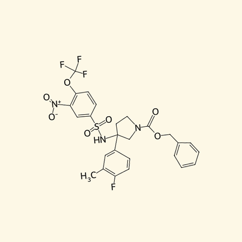 Cc1cc(C2(NS(=O)(=O)c3ccc(OC(F)(F)F)c([N+](=O)[O-])c3)CCN(C(=O)OCc3ccccc3)C2)ccc1F